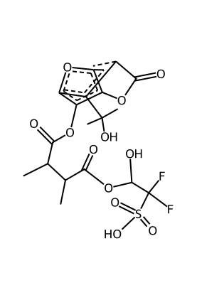 CC(C(=O)Oc1c2c3oc1c(C(C)(C)O)c3C(=O)O2)C(C)C(=O)OC(O)C(F)(F)S(=O)(=O)O